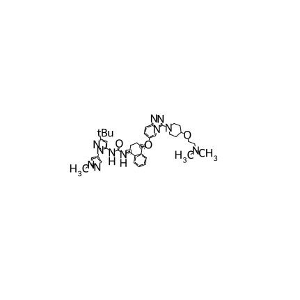 CN(C)CCOC1CCN(c2nnc3ccc(O[C@@H]4CC[C@H](NC(=O)Nc5cc(C(C)(C)C)nn5-c5cnn(C)c5)c5ccccc54)cn23)CC1